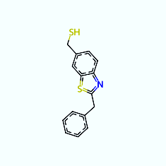 SCc1ccc2nc(Cc3ccccc3)sc2c1